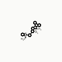 CCn1c(-c2cccc(-c3ccc4c5c(ccc4c3)-c3c(c4ccccc4c4ccccc34)C5(C)C)c2)nc2ccccc21